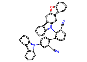 N#Cc1cc(-n2c3ccccc3c3ccccc32)ccc1-c1cccc(C#N)c1-n1c2ccccc2c2cc3oc4ccccc4c3cc21